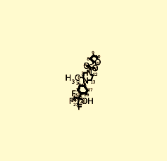 C[C@H]1CN(S(=O)(=O)c2ccco2)CCN1c1ccc(C(O)(CF)C(F)F)cc1